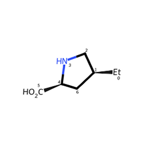 CC[C@@H]1CN[C@H](C(=O)O)C1